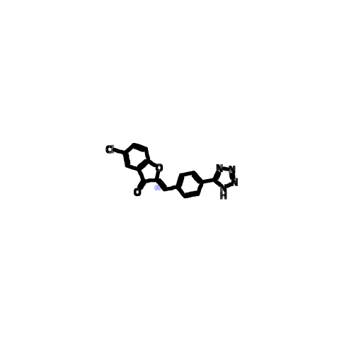 O=C1/C(=C/c2ccc(-c3nnn[nH]3)cc2)Oc2ccc(Cl)cc21